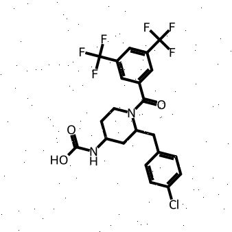 O=C(O)NC1CCN(C(=O)c2cc(C(F)(F)F)cc(C(F)(F)F)c2)C(Cc2ccc(Cl)cc2)C1